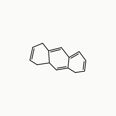 C1=CCC2=CC3CC=CCC3=CC2=C1